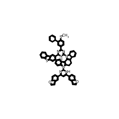 CSc1ccc(C2=NC(c3ccc4sc5ccccc5c4c3)NC(N3C4=C(CCc5c4c4ccccc4n5C4N=C(c5ccc6occc6c5)C=C(c5ccc6occc6c5)N4)C4C=CC=CC43)=N2)cc1C1C=CC=CC1